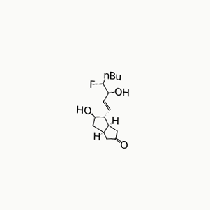 CCCCC(F)C(O)/C=C/[C@@H]1[C@H]2CC(=O)C[C@H]2C[C@H]1O